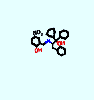 O=[N+]([O-])c1ccc(O)c(C=NC(Cc2ccccc2)C(O)(c2ccccc2)c2ccccc2)c1